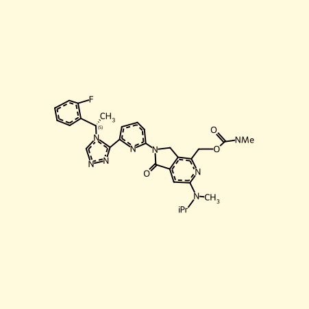 CNC(=O)OCc1nc(N(C)C(C)C)cc2c1CN(c1cccc(-c3nncn3[C@@H](C)c3ccccc3F)n1)C2=O